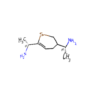 C[C@@H](N)C1=CC([C@@H](C)N)CS1